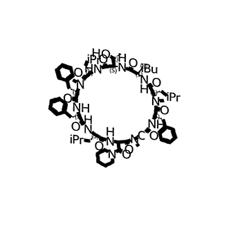 CC[C@H](C)[C@@H]1NC(=O)[C@H](CC(C)C)N(C)C(=O)[C@H](Cc2ccccc2)NC(=O)CN(C)C(=O)C(C(=O)N2CCCCC2)NC(=O)[C@H](CC(C)C)NC(=O)[C@H](Cc2ccccc2)NC(=O)[C@H](Cc2ccccc2)N(C)C(=O)[C@H](CC(C)C)NC(=O)[C@H]([C@@H](C)O)NC1=O